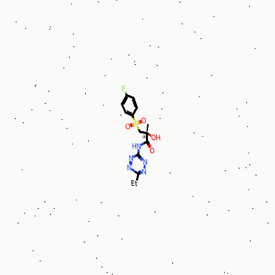 CCc1nnc(NC(=O)[C@@](C)(O)CS(=O)(=O)c2ccc(F)cc2)nn1